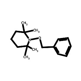 CC1(C)C[CH]CC(C)(C)N1OCc1ccccc1